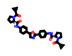 O=C(Nc1ccc(-c2ncc(-c3ccc(NC(=O)[C@@H]4CCCN4C(=O)C4CC4)cc3)o2)cc1)[C@H]1CCCN1C(=O)C1CC1